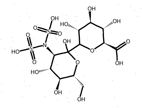 O=C(O)[C@H]1OC(C2(O)O[C@H](CO)[C@@H](O)[C@H](O)[C@H]2N(S(=O)(=O)O)S(=O)(=O)O)[C@H](O)[C@@H](O)[C@@H]1O